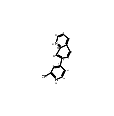 Clc1cc(-c2ccc3cccnc3c2)ccn1